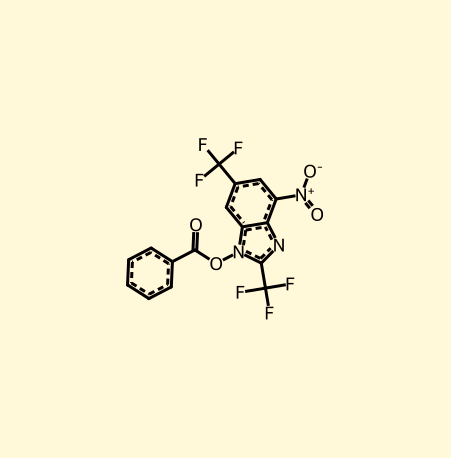 O=C(On1c(C(F)(F)F)nc2c([N+](=O)[O-])cc(C(F)(F)F)cc21)c1ccccc1